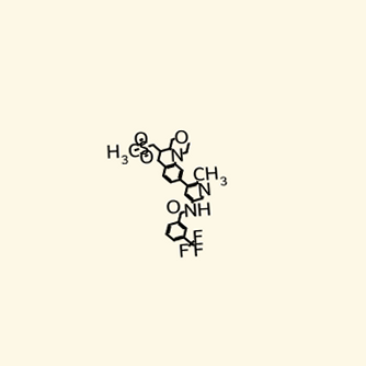 Cc1ncc(NC(=O)c2cccc(C(F)(F)F)c2)cc1-c1ccc2c(c1)N1CCOCC1C(CS(C)(=O)=O)C2